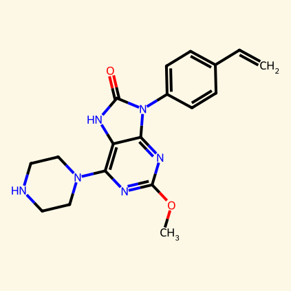 C=Cc1ccc(-n2c(=O)[nH]c3c(N4CCNCC4)nc(OC)nc32)cc1